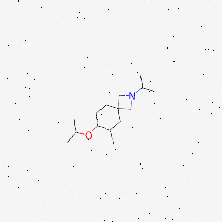 CC(C)OC1CCC2(CC1C)CN(C(C)C)C2